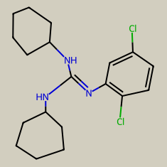 Clc1ccc(Cl)c(N=C(NC2CCCCC2)NC2CCCCC2)c1